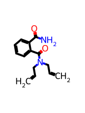 C=CCN(CC=C)C(=O)c1ccccc1C(N)=O